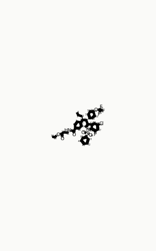 CCC[C@H](c1ccc(C(=O)NCCC(=O)OCC)cc1)[C@H](c1ccc(OC(F)(F)F)cc1)c1cn(S(=O)(=O)c2ccccc2)c2c(F)cc(Cl)cc12